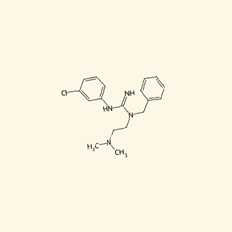 CN(C)CCN(Cc1ccccc1)C(=N)Nc1cccc(Cl)c1